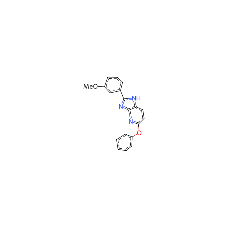 COc1cccc(-c2nc3nc(Oc4ccccc4)ccc3[nH]2)c1